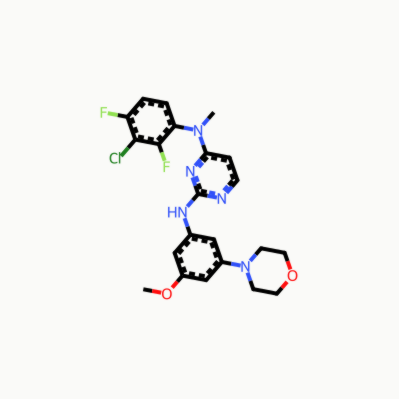 COc1cc(Nc2nccc(N(C)c3ccc(F)c(Cl)c3F)n2)cc(N2CCOCC2)c1